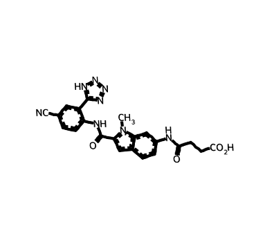 Cn1c(C(=O)Nc2ccc(C#N)cc2-c2nnn[nH]2)cc2ccc(NC(=O)CCC(=O)O)cc21